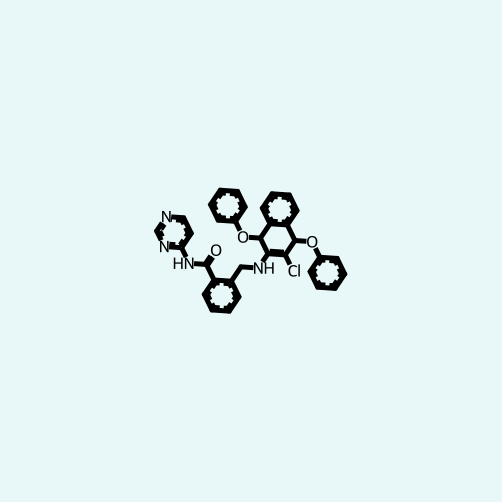 O=C(Nc1ccncn1)c1ccccc1CNC1=C(Cl)C(Oc2ccccc2)c2ccccc2C1Oc1ccccc1